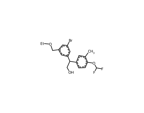 CCOCc1cc(Br)cc(C(CO)c2ccc(OC(F)F)c(C)c2)c1